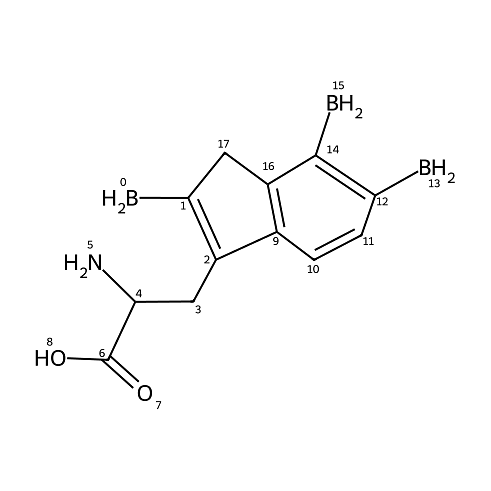 BC1=C(CC(N)C(=O)O)c2ccc(B)c(B)c2C1